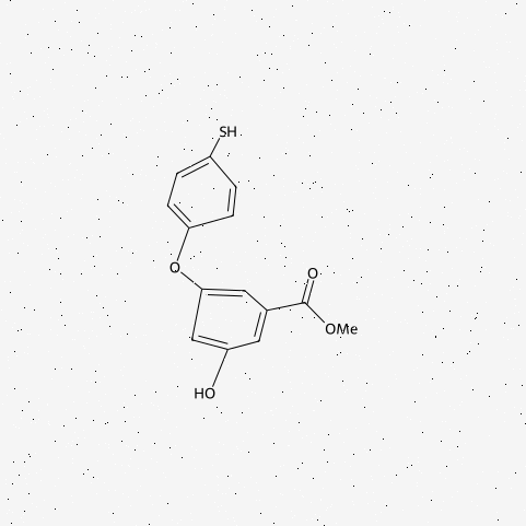 COC(=O)c1cc(O)cc(Oc2ccc(S)cc2)c1